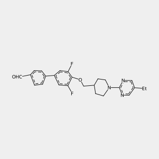 CCc1cnc(N2CCC(COc3c(F)cc(-c4ccc(C=O)cc4)cc3F)CC2)nc1